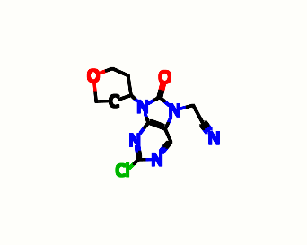 N#CCn1c(=O)n(C2CCOCC2)c2nc(Cl)ncc21